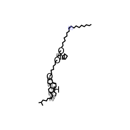 CCCCCCCC/C=C\CCCCCCCCOC[C@@H](COCCCCCCO[C@H]1CC[C@@]2(C)C(=CC[C@@H]3C2CC[C@@]2(C)C3CC[C@@H]2[C@H](C)CCCC(C)C)C1)N1CCCC1